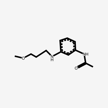 COCCCNc1cccc(NC(C)=O)c1